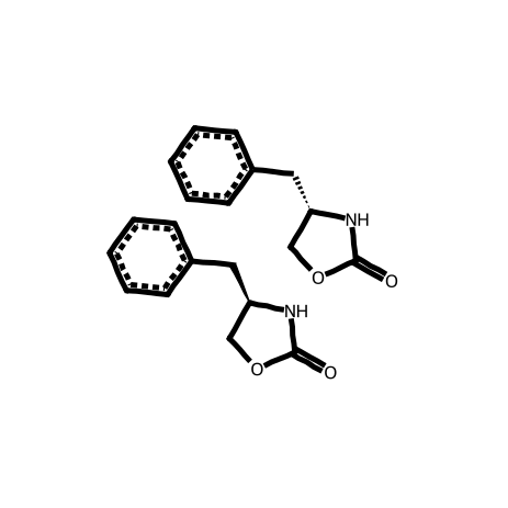 O=C1N[C@@H](Cc2ccccc2)CO1.O=C1N[C@H](Cc2ccccc2)CO1